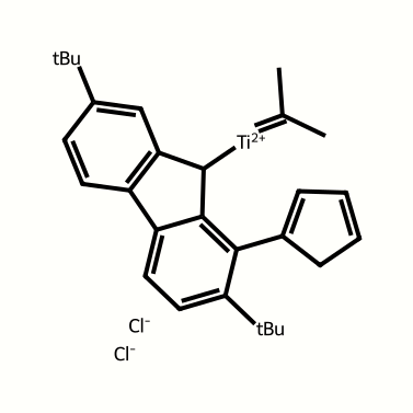 C[C](C)=[Ti+2][CH]1c2cc(C(C)(C)C)ccc2-c2ccc(C(C)(C)C)c(C3=CC=CC3)c21.[Cl-].[Cl-]